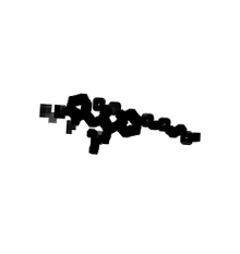 COCCOCOc1ccc2c(CN(C)C)c(Cc3cccc(N)c3F)c(=O)oc2c1